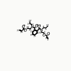 C=CC(=O)OCCN(CCC)C(=O)c1ccccc1C(=O)N(CCC)CCOC(=O)C=C